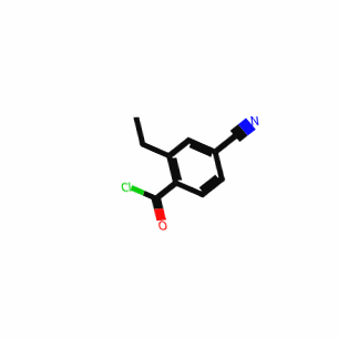 CCc1cc(C#N)ccc1C(=O)Cl